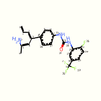 C=C/C=C(\C=C(\C)N)c1ccc(NC(=O)Nc2cc(C(F)(F)F)ccc2F)cc1